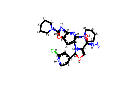 NC(=O)C1=COC(c2ccnc(Cl)c2)N1c1cc2oc(N3CCCCC3)nc2nc1N1CCCCC1